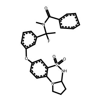 CN(C(=O)c1ccccc1)C(C)(F)c1cccc(Oc2ccc3c(c2)S(=O)(=O)NC2CCCN32)c1